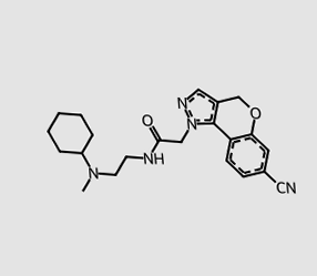 CN(CCNC(=O)Cn1ncc2c1-c1ccc(C#N)cc1OC2)C1CCCCC1